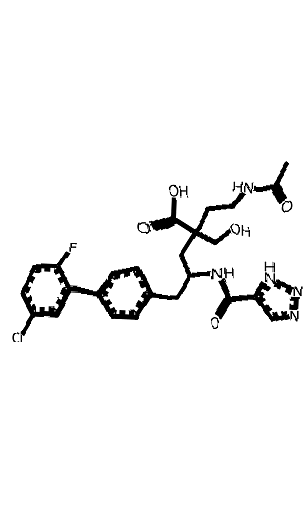 CC(=O)NCCC(CO)(CC(Cc1ccc(-c2cc(Cl)ccc2F)cc1)NC(=O)c1cnn[nH]1)C(=O)O